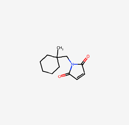 CC1(CN2C(=O)C=CC2=O)CCCCC1